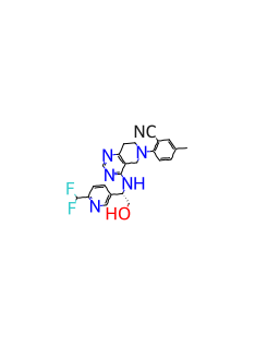 Cc1ccc(N2CCc3ncnc(N[C@H](CO)c4ccc(C(F)F)nc4)c3C2)c(C#N)c1